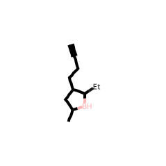 C#CCCC1CC(C)BC1CC